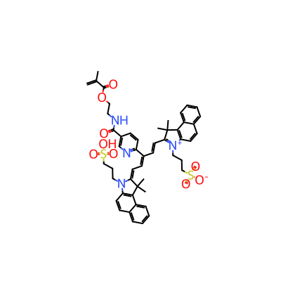 C=C(C)C(=O)OCCNC(=O)c1ccc(C(=C\C=C2\N(CCCS(=O)(=O)O)c3ccc4ccccc4c3C2(C)C)/C=C/C2=[N+](CCCS(=O)(=O)[O-])c3ccc4ccccc4c3C2(C)C)nc1